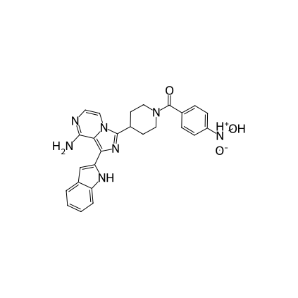 Nc1nccn2c(C3CCN(C(=O)c4ccc([NH+]([O-])O)cc4)CC3)nc(-c3cc4ccccc4[nH]3)c12